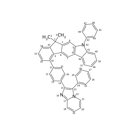 CC1(C)c2cc3c(cc2-c2c(-c4ccc(-c5nc6ccccn6c5-c5ccccc5)cc4)cccc21)c1ccccc1n3-c1ccccc1